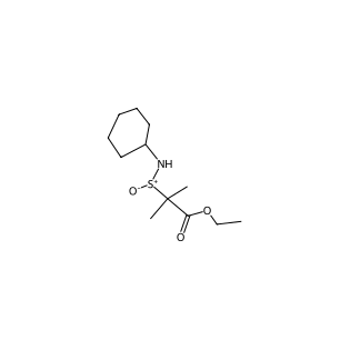 CCOC(=O)C(C)(C)[S+]([O-])NC1CCCCC1